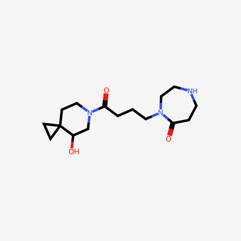 O=C1CCNCCN1CCCC(=O)N1CCC2(CC2)C(O)C1